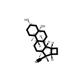 C[C@]1(C#N)[C@H]2CC[C@H]2[C@H]2[C@@H]3CC[C@]4(O)C[C@@H](O)CC[C@]4(C)[C@H]3CC[C@@]21C